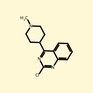 CN1CCC(c2nc(Cl)nc3ccccc23)CC1